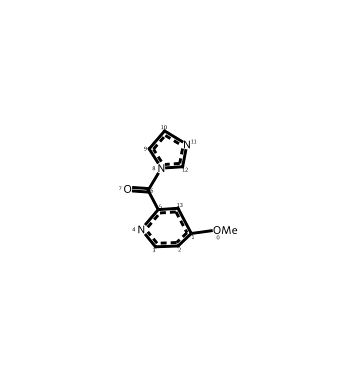 COc1ccnc(C(=O)n2ccnc2)c1